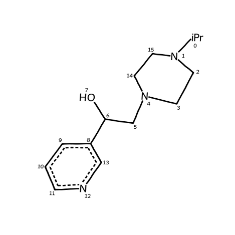 CC(C)N1CCN(CC(O)c2cccnc2)CC1